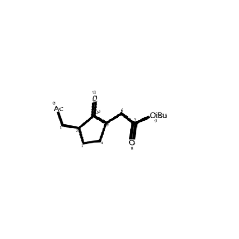 CC(=O)CC1CCC(CC(=O)OCC(C)C)C1=O